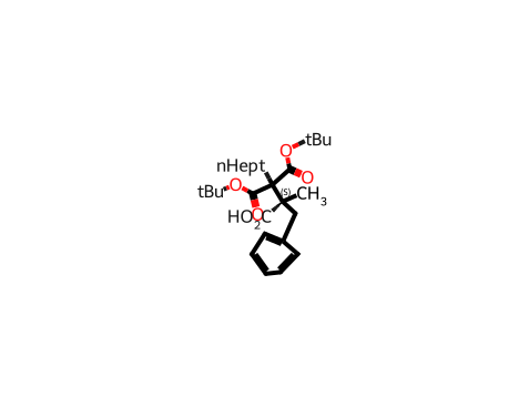 CCCCCCCC(C(=O)OC(C)(C)C)(C(=O)OC(C)(C)C)[C@](C)(Cc1ccccc1)C(=O)O